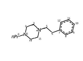 [CH2]CCN1CCN(CCc2ccccc2)CC1